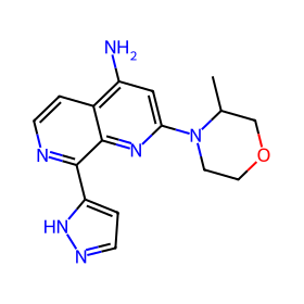 CC1COCCN1c1cc(N)c2ccnc(-c3ccn[nH]3)c2n1